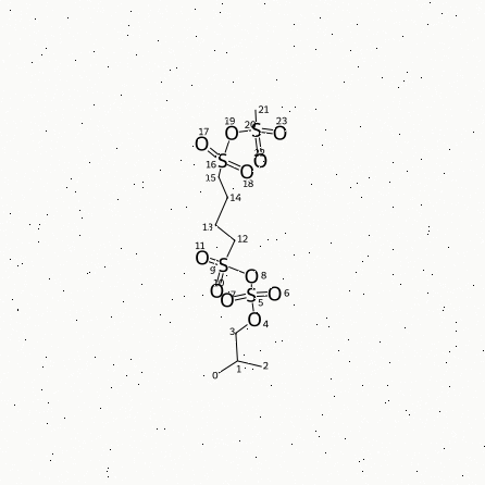 CC(C)COS(=O)(=O)OS(=O)(=O)CCCCS(=O)(=O)OS(C)(=O)=O